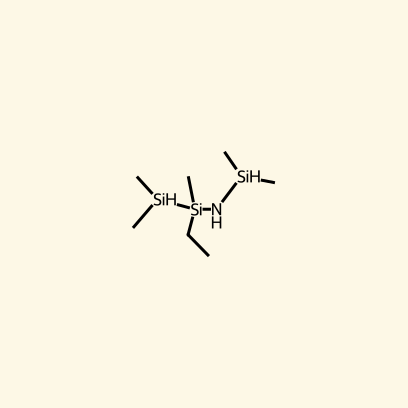 CC[Si](C)(N[SiH](C)C)[SiH](C)C